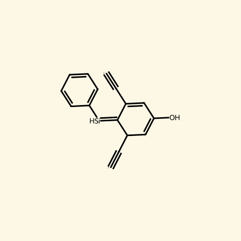 [C]#CC1=CC(O)=CC(C#[C])C1=[SiH]c1ccccc1